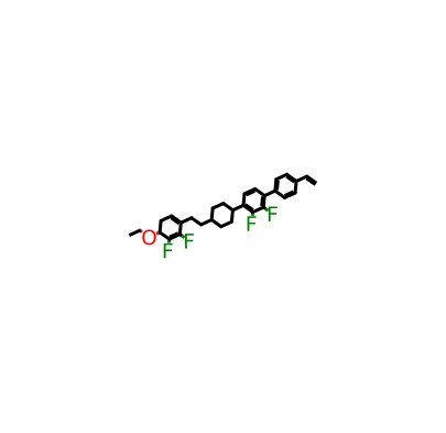 C=Cc1ccc(-c2ccc(C3CCC(CCC4=CCC(OCC)C(F)=C4F)CC3)c(F)c2F)cc1